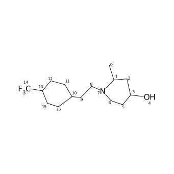 CC1CC(O)CCN1CCC1CCC(C(F)(F)F)CC1